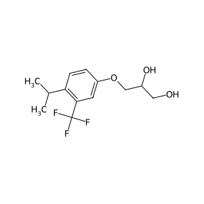 CC(C)c1ccc(OCC(O)CO)cc1C(F)(F)F